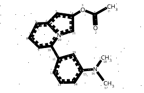 CC(=O)Oc1cc2cccc(-c3cccc(N(C)C)c3)n2c1